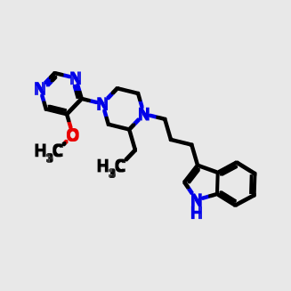 CCC1CN(c2ncncc2OC)CCN1CCCc1c[nH]c2ccccc12